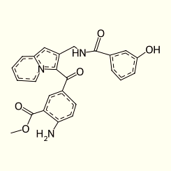 COC(=O)c1cc(C(=O)c2c(CNC(=O)c3cccc(O)c3)cc3ccccn23)ccc1N